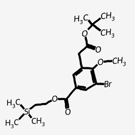 COc1c(Br)cc(C(=O)OCC[Si](C)(C)C)cc1CC(=O)OC(C)(C)C